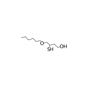 CCCCCCOCC(S)CCO